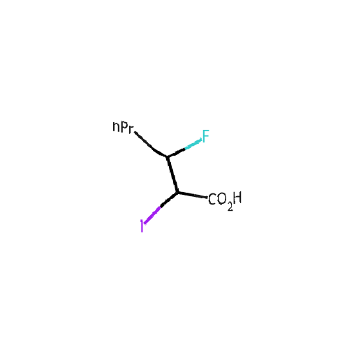 CCCC(F)C(I)C(=O)O